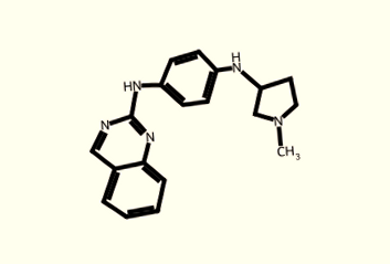 CN1CCC(Nc2ccc(Nc3ncc4ccccc4n3)cc2)C1